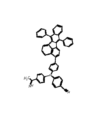 CC(=N)c1ccc(N(c2ccc(C#N)cc2)c2ccc(-c3ccc4c5c(cccc35)-c3c-4c(-c4ccccc4)c4ccccc4c3-c3ccccc3)cc2)cc1